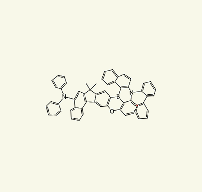 CC1(C)c2cc3c(cc2-c2c1cc(N(c1ccccc1)c1ccccc1)c1ccccc21)Oc1cccc2c1B3c1c(ccc3ccccc13)N2c1ccccc1-c1ccccc1